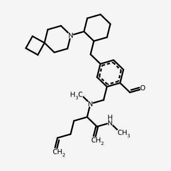 C=CCCC(C(=C)NC)N(C)Cc1cc(CC2CCCCC2N2CCC3(CCC3)CC2)ccc1C=O